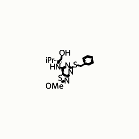 COc1nc2nc(SCc3ccccc3)nc(N[C@@H](CO)C(C)C)c2s1